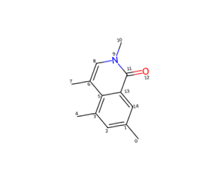 Cc1cc(C)c2c(C)cn(C)c(=O)c2c1